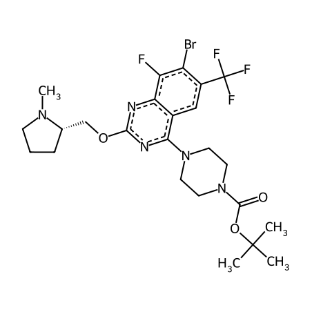 CN1CCC[C@H]1COc1nc(N2CCN(C(=O)OC(C)(C)C)CC2)c2cc(C(F)(F)F)c(Br)c(F)c2n1